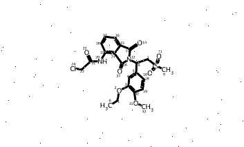 CCOc1cc(C(CS(C)(=O)=O)N2C(=O)c3cccc(NC(=O)CCl)c3C2=O)ccc1OC